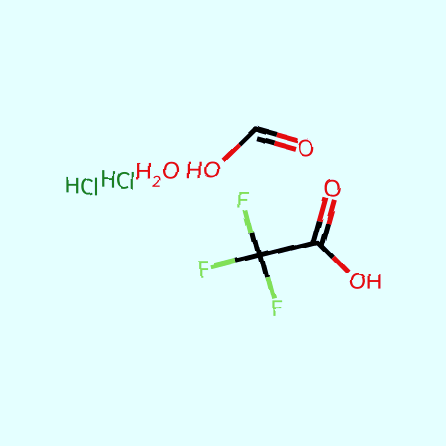 Cl.Cl.O.O=C(O)C(F)(F)F.O=CO